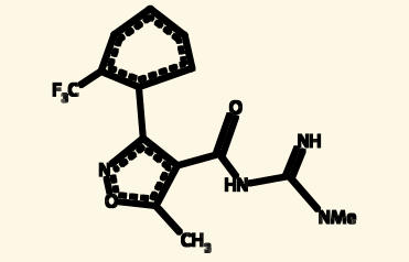 CNC(=N)NC(=O)c1c(-c2ccccc2C(F)(F)F)noc1C